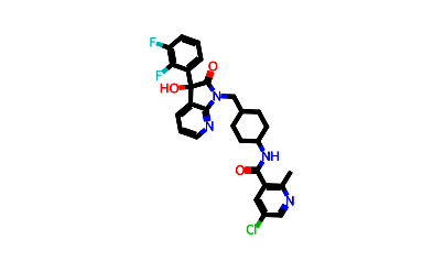 Cc1ncc(Cl)cc1C(=O)NC1CCC(CN2C(=O)C(O)(c3cccc(F)c3F)c3cccnc32)CC1